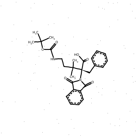 CC(C)(C)OC(=O)NCCC(C)(C)[C@](Cc1ccccc1)(C(=O)O)N1C(=O)c2ccccc2C1=O